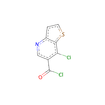 O=C(Cl)c1cnc2ccsc2c1Cl